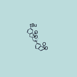 C[C@@H](CC1Cc2ccc(C(C)(C)C)cc2S1(=O)=O)c1ccc2c(c1)S(=O)(=O)C=C2